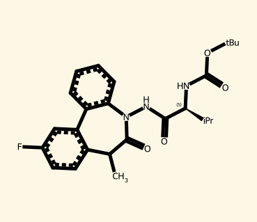 CC1C(=O)N(NC(=O)[C@@H](NC(=O)OC(C)(C)C)C(C)C)c2ccccc2-c2cc(F)ccc21